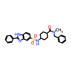 CN(Cc1ccccc1)C(=O)C1CCC(NS(=O)(=O)c2ccc3[nH]c(-c4ccccc4)nc3c2)CC1